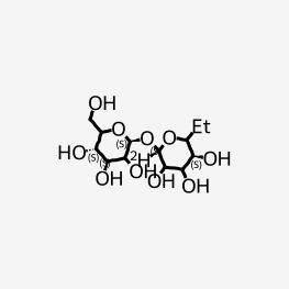 [2H][C@@]1(O[C@@H]2OC(CO)[C@@H](O)[C@H](O)C2O)OC(CC)[C@@H](O)C(O)C1O